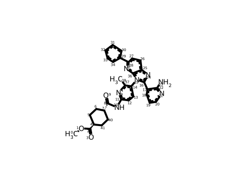 COC(=O)[C@H]1CC[C@H](C(=O)Nc2ccc(-n3c(-c4cccnc4N)nc4ccc(-c5ccccc5)nc43)c(C)n2)CC1